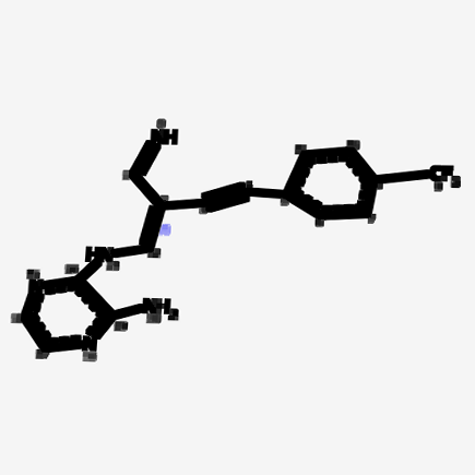 N=C/C(C#Cc1ccc(C(F)(F)F)cc1)=C\Nc1nccnc1N